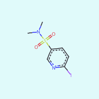 CN(C)S(=O)(=O)c1ccc(I)nc1